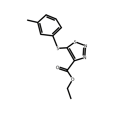 CCOC(=O)c1nnsc1Sc1cccc(C)c1